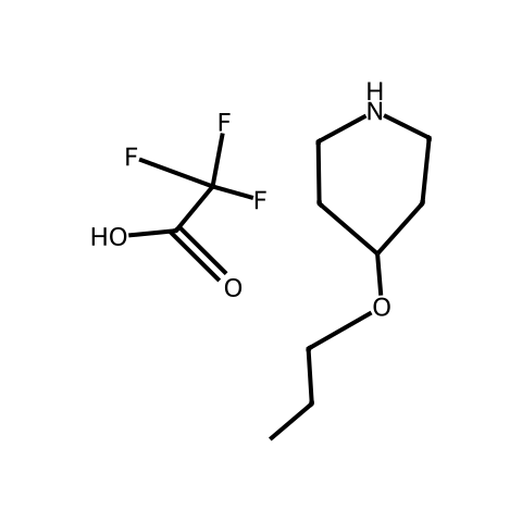 CCCOC1CCNCC1.O=C(O)C(F)(F)F